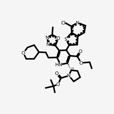 CCOC(=O)C1=C([C@@H]2CCCN2C(=O)OC(C)(C)C)NC(CCC2CCOCC2)=C(c2nnc(C)o2)C1c1cc2ccnc(Cl)c2s1